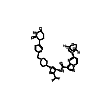 O=C1CCC(c2ccc(CN3CCC(n4cc(NC(=O)c5cnn6ccc(N7C[C@H]8C[C@@H]7CO8)nc56)c(C(F)F)n4)CC3)cc2)C(=O)N1